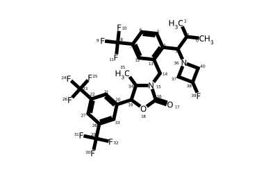 CC(C)C(c1ccc(C(F)(F)F)cc1CN1C(=O)OC(c2cc(C(F)(F)F)cc(C(F)(F)F)c2)C1C)N1CC(F)C1